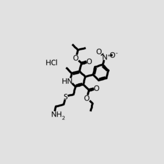 CCOC(=O)C1=C(CSCCN)NC(C)=C(C(=O)OC(C)C)C1c1cccc([N+](=O)[O-])c1.Cl